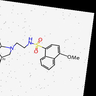 COc1ccc(S(=O)(=O)NCCN2C[C@@H](C)C[C@H]2C)c2ccccc12